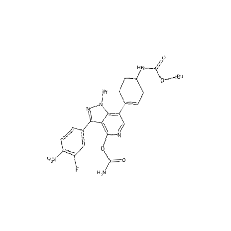 CC(C)n1nc(-c2ccc([N+](=O)[O-])c(F)c2)c2c(OC(N)=O)ncc(C3=CCC(NC(=O)OC(C)(C)C)CC3)c21